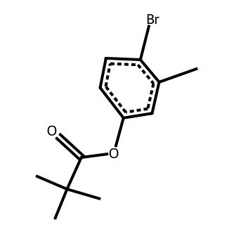 Cc1cc(OC(=O)C(C)(C)C)ccc1Br